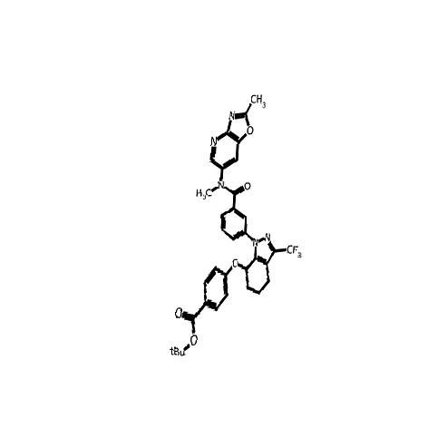 Cc1nc2ncc(N(C)C(=O)c3cccc(-n4nc(C(F)(F)F)c5c4C(Oc4ccc(C(=O)OC(C)(C)C)cc4)CCC5)c3)cc2o1